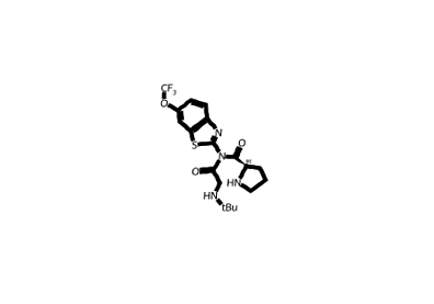 CC(C)(C)NCC(=O)N(C(=O)[C@H]1CCCN1)c1nc2ccc(OC(F)(F)F)cc2s1